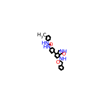 Cc1cccc(NC(=O)Nc2ccc(-c3ccc(NC(=O)Cc4ccccc4)c4c3CNC4=O)cc2)c1